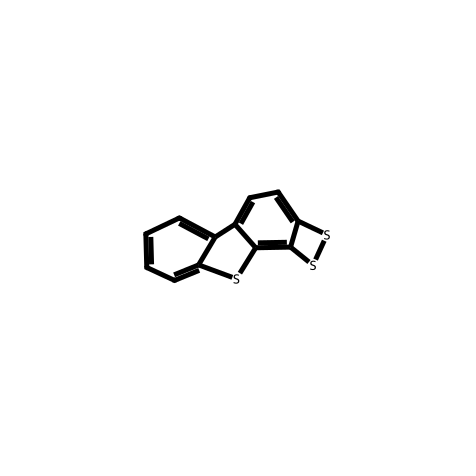 c1ccc2c(c1)sc1c2ccc2ssc21